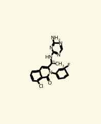 C[C@H](Nc1ncnc(N)n1)c1cc2cccc(Cl)c2c(=O)n1-c1cccc(F)c1